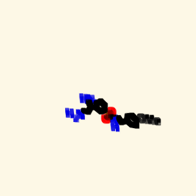 COc1ccc(CCNS(=O)(=O)c2ccc3[nH]cc(CCN)c3c2)cc1